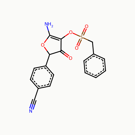 N#Cc1ccc(C2OC(N)=C(OS(=O)(=O)Cc3ccccc3)C2=O)cc1